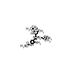 C=CCC(NC(=O)OC(C)(C)C)c1nc(-c2ccc(NC(=O)OC)cc2N)cn1COCC[Si](C)(C)C